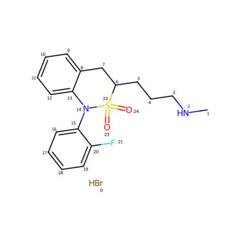 Br.CNCCCC1Cc2ccccc2N(c2ccccc2F)S1(=O)=O